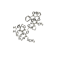 CC[C@H](C)[C@@H]([C@@H](CC(=O)N1CCC[C@H]1[C@H](OC)[C@@H](C)C(=O)NC(c1nccs1)[C@@H](O)c1ccccc1)OC)N(C)C(=O)[C@@H](N)CSC